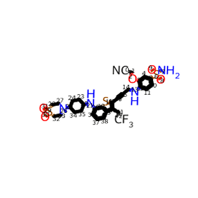 N#CCOc1cc(S(N)(=O)=O)ccc1NCC#Cc1sc2c(NC3CCC(N4CCS(=O)(=O)CC4)CC3)cccc2c1CC(F)(F)F